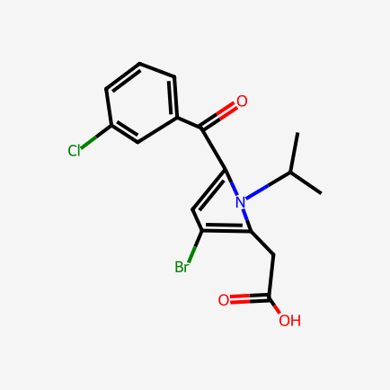 CC(C)n1c(C(=O)c2cccc(Cl)c2)cc(Br)c1CC(=O)O